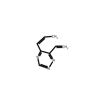 C=Cc1nncnc1/C=C\C